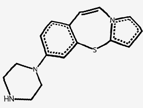 C1=Cn2cccc2Sc2cc(N3CCNCC3)ccc21